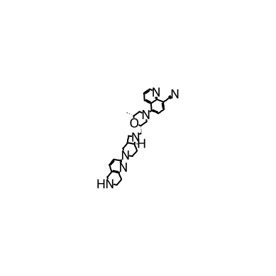 C[C@@H]1CN(c2ccc(C#N)c3ncccc23)C[C@H](CN2CC3CN(c4ccc5c(n4)CCNC5)CC[C@@H]32)O1